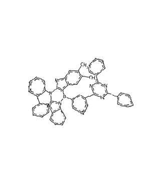 Cc1cc2nc3n(c2cc1C)B(c1cccc(-c2nc(-c4ccccc4)nc(-c4ccccc4)n2)c1)n1c(nc2ccccc21)N3c1ccccc1-c1ccccc1